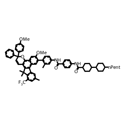 CCCCCC1CCC(C2CCC(C(=O)Nc3ccc(C(=O)Nc4ccc(-c5cc6c7c(c8c(c6cc5OC)OC(c5ccccc5)(c5ccc(OC)cc5)C=C8)C(C)(C)c5c-7cc(C)cc5C(F)(F)F)c(C)c4)cc3)CC2)CC1